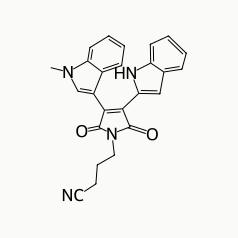 Cn1cc(C2=C(c3cc4ccccc4[nH]3)C(=O)N(CCCC#N)C2=O)c2ccccc21